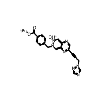 CC(C)(C)OC(=O)c1ccc(CN2C=c3nc(C#CCn4cncn4)cnc3=C[NH+]2[O-])cc1